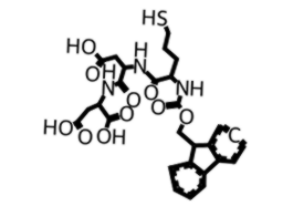 O=C(O)CC(NC(=O)C(CC(=O)O)NC(=O)C(CCCS)NC(=O)OCC1c2ccccc2-c2ccccc21)C(=O)O